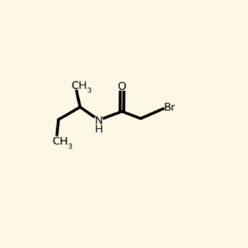 CCC(C)NC(=O)CBr